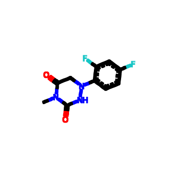 CN1C(=O)CN(c2ccc(F)cc2F)NC1=O